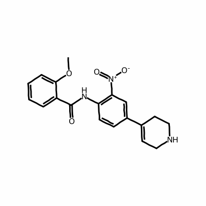 COc1ccccc1C(=O)Nc1ccc(C2=CCNCC2)cc1[N+](=O)[O-]